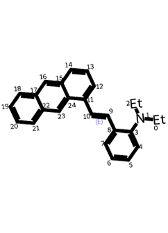 CCN(CC)c1ccccc1/C=C/c1cccc2cc3ccccc3cc12